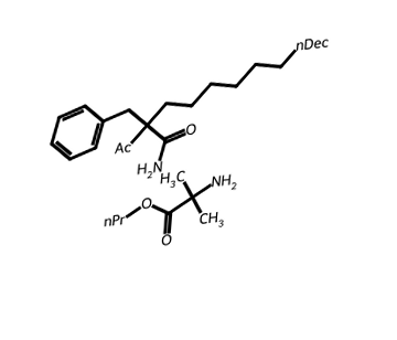 CCCCCCCCCCCCCCCCC(Cc1ccccc1)(C(C)=O)C(N)=O.CCCOC(=O)C(C)(C)N